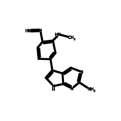 CNc1cc(-c2c[nH]c3nc(N)ncc23)ccc1N=N